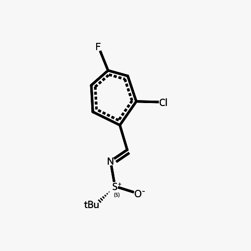 CC(C)(C)[S@@+]([O-])N=Cc1ccc(F)cc1Cl